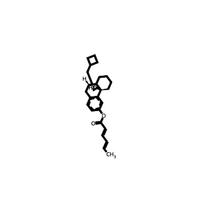 C/C=C/C=C/C(=O)Oc1ccc2c(c1)[C@@]13CCCC[C@@]1(O)[C@@H](C2)N(CC1CCC1)CC3